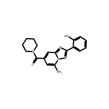 Nc1cc(C(=O)N2CCCCC2)cc2nc(-c3ccccc3O)nn12